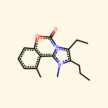 CCCc1c(CC)n2c(=O)oc3cccc(C)c3c2[n+]1C